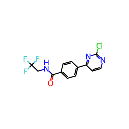 O=C(NCC(F)(F)F)c1ccc(-c2ccnc(Cl)n2)cc1